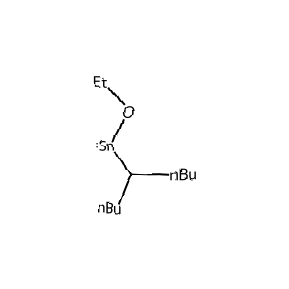 CCCC[CH](CCCC)[Sn][O]CC